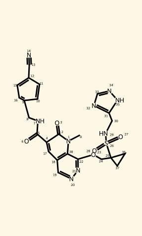 Cn1c(=O)c(C(=O)NCc2ccc(C#N)cc2)cc2cnnc(OCC3(S(=O)(=O)NCc4ncn[nH]4)CC3)c21